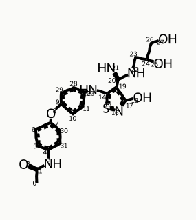 CC(=O)Nc1ccc(Oc2ccc(Nc3snc(O)c3C(=N)NCC(O)CO)cc2)cc1